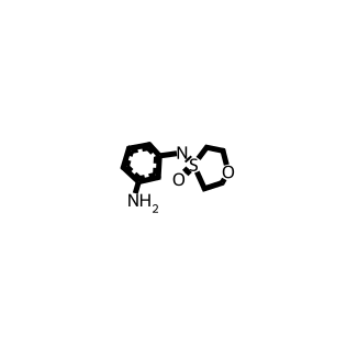 Nc1cccc(N=S2(=O)CCOCC2)c1